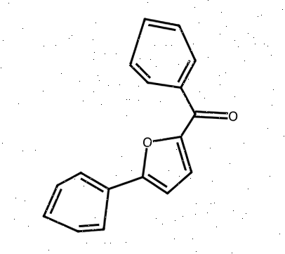 O=C(c1ccccc1)c1ccc(-c2ccccc2)o1